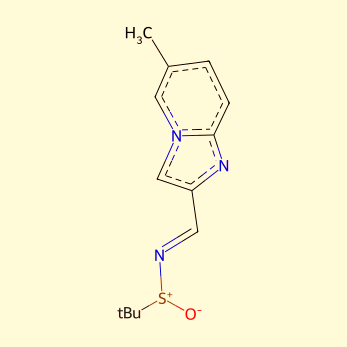 Cc1ccc2nc(C=N[S+]([O-])C(C)(C)C)cn2c1